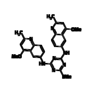 COc1cc(C)nc2ccc(Nc3nc(Nc4ccc5nc(C)cc(OC)c5c4)nc(SC)n3)cc12